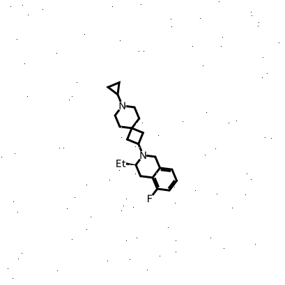 CC[C@@H]1Cc2c(F)cccc2CN1C1CC2(CCN(C3CC3)CC2)C1